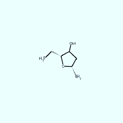 B[C@H]1CC(O)[C@@H](CP)O1